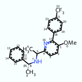 COc1ccc(C(C)N[C@H](C)c2ccccc2)nc1-c1ccc(C(F)(F)F)cc1